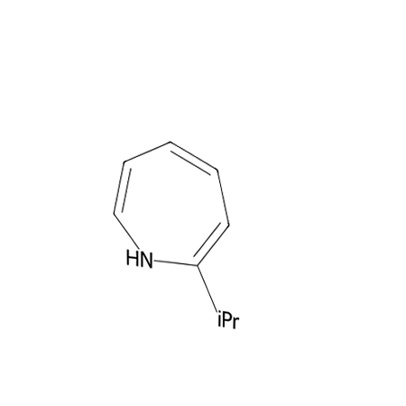 CC(C)C1=CC=CC=CN1